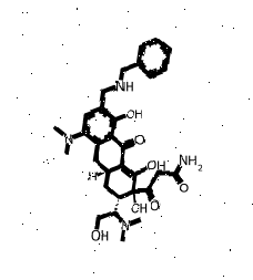 CN(C)c1cc(CNCc2ccccc2)c(O)c2c1C[C@H]1C[C@@H](C(CO)N(C)C)[C@@](O)(C(=O)CC(N)=O)C(O)=C1C2=O